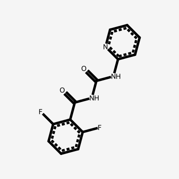 O=C(NC(=O)c1c(F)cccc1F)Nc1ccccn1